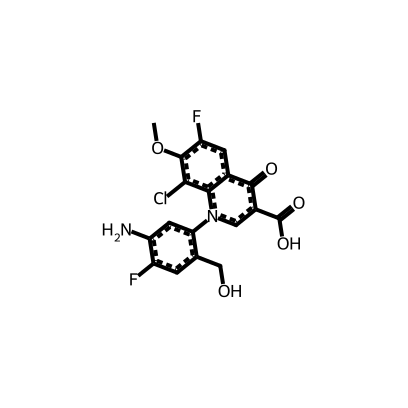 COc1c(F)cc2c(=O)c(C(=O)O)cn(-c3cc(N)c(F)cc3CO)c2c1Cl